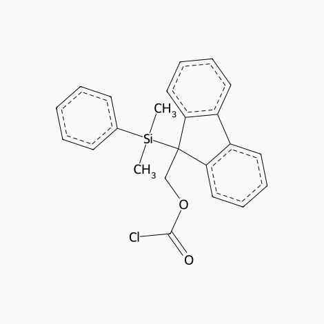 C[Si](C)(c1ccccc1)C1(COC(=O)Cl)c2ccccc2-c2ccccc21